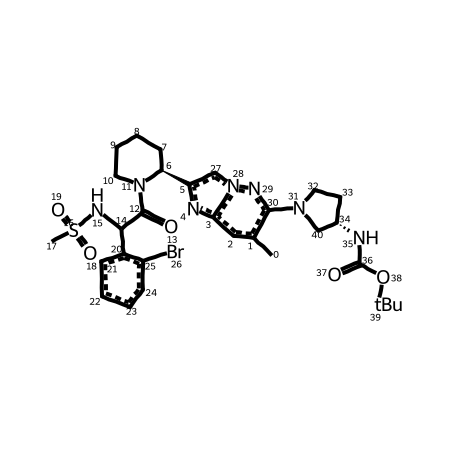 Cc1cc2nc([C@@H]3CCCCN3C(=O)C(NS(C)(=O)=O)c3ccccc3Br)cn2nc1N1CC[C@H](NC(=O)OC(C)(C)C)C1